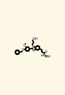 COc1cc(-c2nc3cc(C=CC(=O)NO)ccc3n2CCCO)ccc1OCc1ccccc1